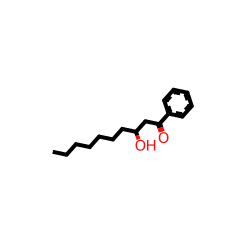 CCCCCCCC(O)CC(=O)c1ccccc1